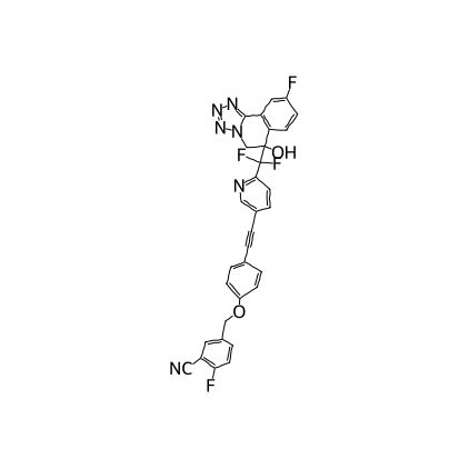 N#Cc1cc(COc2ccc(C#Cc3ccc(C(F)(F)C4(O)Cn5nnnc5-c5cc(F)ccc54)nc3)cc2)ccc1F